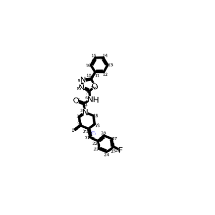 CC1CN(C(=O)Nc2nnc(-c3ccccc3)o2)CC/C1=C\c1ccc(F)cc1